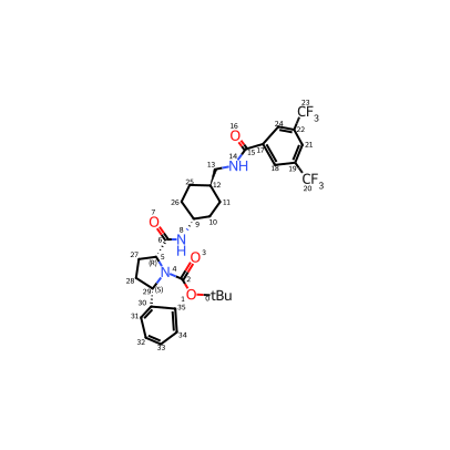 CC(C)(C)OC(=O)N1[C@@H](C(=O)N[C@H]2CC[C@H](CNC(=O)c3cc(C(F)(F)F)cc(C(F)(F)F)c3)CC2)CC[C@H]1c1ccccc1